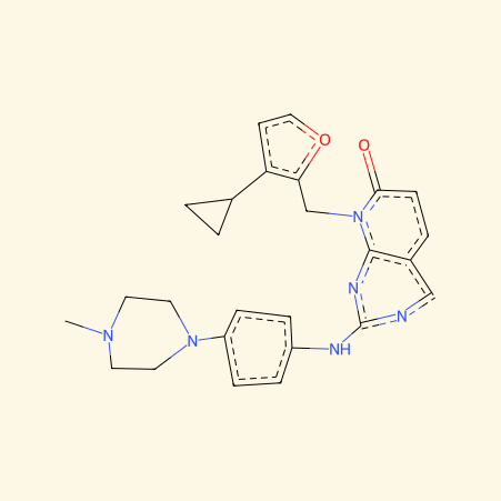 CN1CCN(c2ccc(Nc3ncc4ccc(=O)n(Cc5occc5C5CC5)c4n3)cc2)CC1